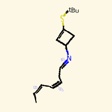 C\C=C/C=C\C=N\C1C=C(SC(C)(C)C)C1